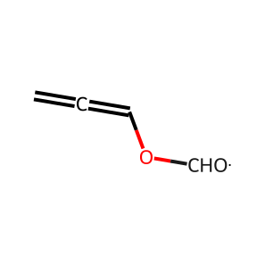 C=C=CO[C]=O